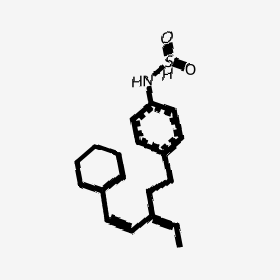 C/C=C(\C=C/C1CCCCC1)CCc1ccc(N[SH](=O)=O)cc1